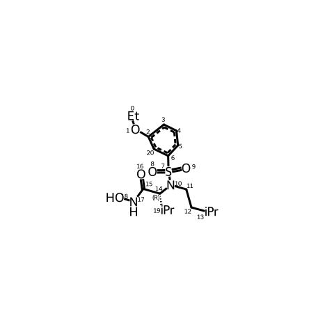 CCOc1cccc(S(=O)(=O)N(CCC(C)C)[C@@H](C(=O)NO)C(C)C)c1